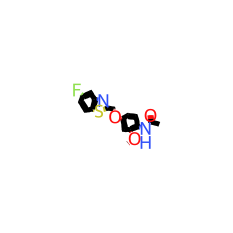 COc1cc(OCc2nc3cc(F)ccc3s2)ccc1NC(C)=O